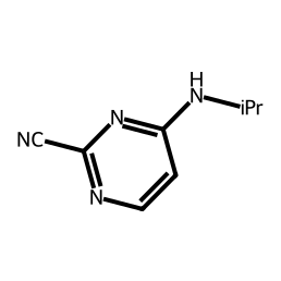 CC(C)Nc1ccnc(C#N)n1